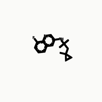 CC1(CC(C)(C)Nc2cnc3c(F)cccc3c2)CC1